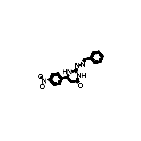 O=C1CC(c2ccc([N+](=O)[O-])cc2)NC(=NN=Cc2ccccc2)N1